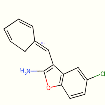 Nc1oc2ccc(Cl)cc2c1/C=C1/C=CC=CC1